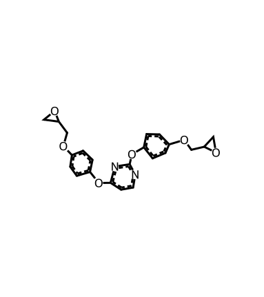 c1cc(Oc2ccc(OCC3CO3)cc2)nc(Oc2ccc(OCC3CO3)cc2)n1